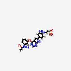 C=CC(=O)Nc1cccc(Oc2ncnc3[nH]c(-c4ccc(NCC[SH](=O)=O)cc4)cc23)c1